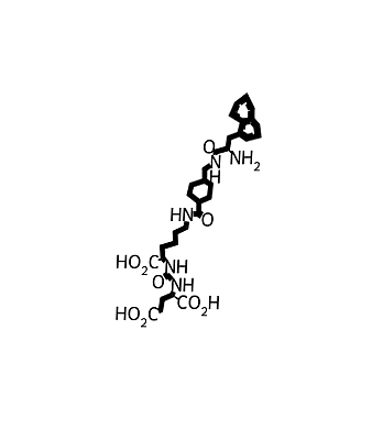 N[C@@H](Cc1cccc2ccccc12)C(=O)NCC1CCC(C(=O)NCCCC[C@H](NC(=O)N[C@@H](CCC(=O)O)C(=O)O)C(=O)O)CC1